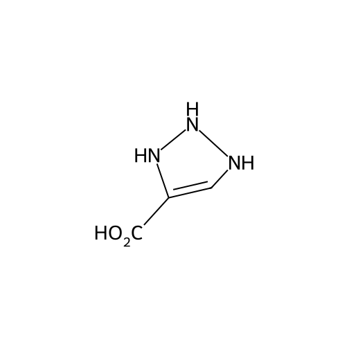 O=C(O)C1=CNNN1